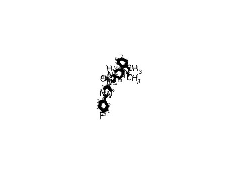 CN(C)[C@]1(c2ccccc2)CC[C@@]2(CC1)CN(c1cnc(-c3ccc(F)cc3)nc1)C(=O)N2